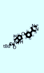 CC(C)(C)OC(=O)N1C[C@H]2C[C@H](Oc3cccc(-c4cncnc4)c3)C[C@H]2C1